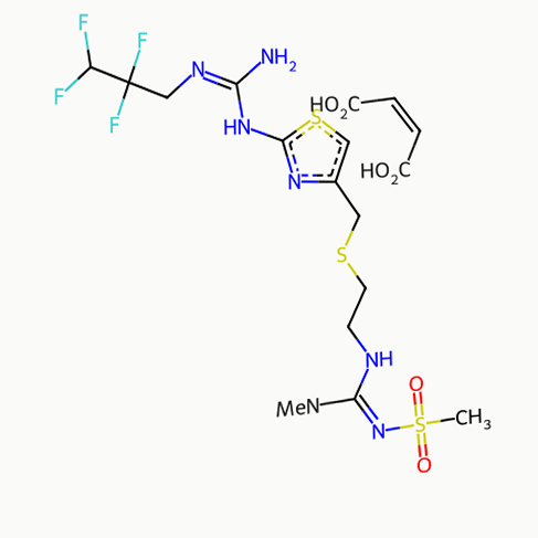 CN/C(=N/S(C)(=O)=O)NCCSCc1csc(N/C(N)=N\CC(F)(F)C(F)F)n1.O=C(O)/C=C\C(=O)O